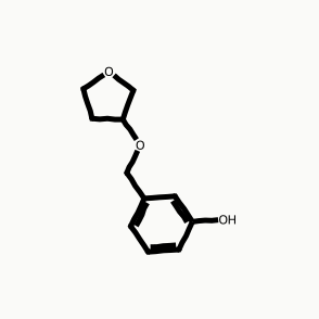 Oc1cccc(COC2CCOC2)c1